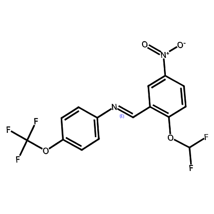 O=[N+]([O-])c1ccc(OC(F)F)c(/C=N/c2ccc(OC(F)(F)F)cc2)c1